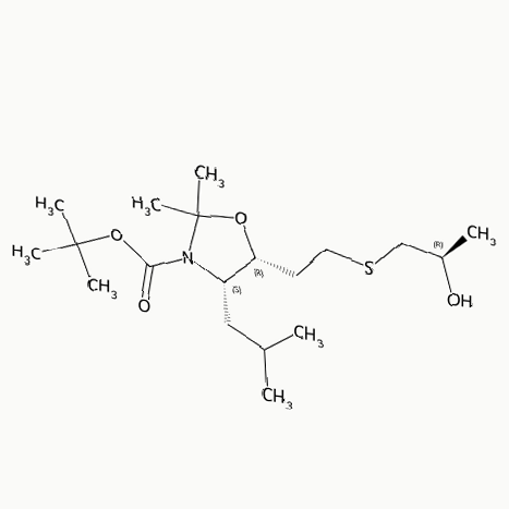 CC(C)C[C@H]1[C@@H](CCSC[C@@H](C)O)OC(C)(C)N1C(=O)OC(C)(C)C